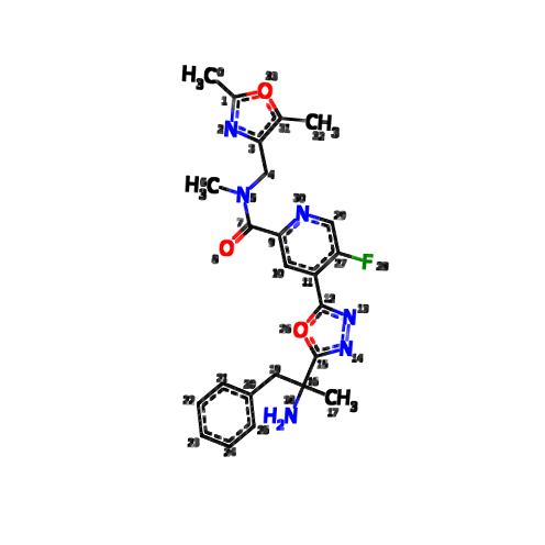 Cc1nc(CN(C)C(=O)c2cc(-c3nnc(C(C)(N)Cc4ccccc4)o3)c(F)cn2)c(C)o1